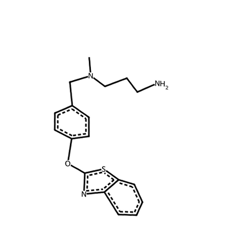 CN(CCCN)Cc1ccc(Oc2nc3ccccc3s2)cc1